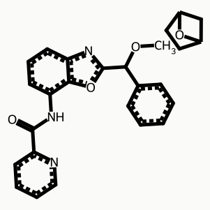 C1CC2CC1O2.COC(c1ccccc1)c1nc2cccc(NC(=O)c3ccccn3)c2o1